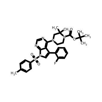 Cc1ccc(S(=O)(=O)n2cc(-c3ccccc3F)c3c(N4CCN(C(=O)OC(C)(C)C)C(C)(C)C4)ncnc32)cc1